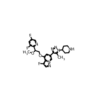 COC(COc1cc(-c2nnn(C3CCNCC3)c2C)cn2ncc(F)c12)c1ncc(F)cc1F